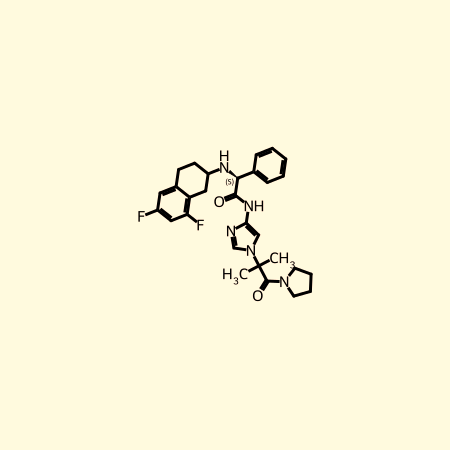 CC(C)(C(=O)N1CCCC1)n1cnc(NC(=O)[C@@H](NC2CCc3cc(F)cc(F)c3C2)c2ccccc2)c1